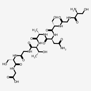 C[C@H](NC(=O)[C@H](CC(N)=O)NC(=O)[C@H](CO)NC(=O)CNC(=O)[C@@H](N)CO)C(=O)N[C@H](C(=O)NCC(=O)N[C@@H](CO)C(=O)NCC(=O)O)[C@@H](C)O